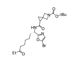 CCC(=O)CCCCC[C@H](NC(=O)C1CC12CN(C(=O)OC(C)(C)C)C2)c1ncc(Br)o1